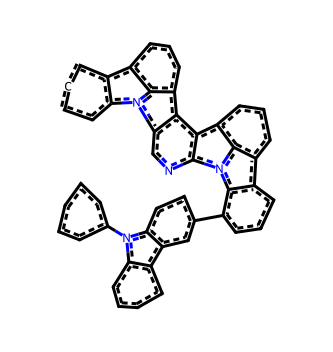 c1ccc(-n2c3ccccc3c3cc(-c4cccc5c6cccc7c8c9c%10cccc%11c%12ccccc%12n(c9cnc8n(c45)c67)c%11%10)ccc32)cc1